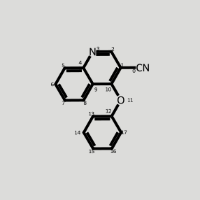 N#Cc1cnc2ccccc2c1Oc1ccccc1